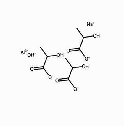 CC(O)C(=O)[O-].CC(O)C(=O)[O-].CC(O)C(=O)[O-].[Al+3].[Na+].[OH-]